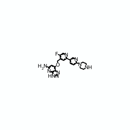 Nc1cc(OCc2cc(-c3ccc(N4CCNCC4)nc3)ncc2F)c2nn[nH]c2n1